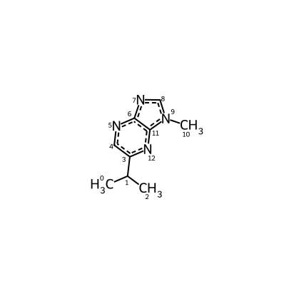 CC(C)c1cnc2ncn(C)c2n1